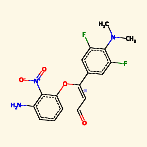 CN(C)c1c(F)cc(/C(=C/C=O)Oc2cccc(N)c2[N+](=O)[O-])cc1F